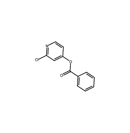 O=C(Oc1ccnc(Cl)c1)c1ccccc1